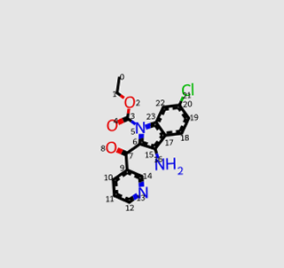 CCOC(=O)n1c(C(=O)c2cccnc2)c(N)c2ccc(Cl)cc21